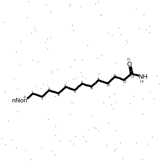 CCCCCCCCCCCCCCCCCCCCCC([NH])=O